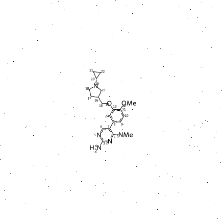 CNc1nc(N)ncc1-c1ccc(OC)c(OCC2CCN(C3CC3)C2)c1